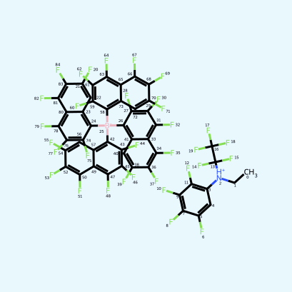 CC[NH+](c1cc(F)c(F)c(F)c1F)C(F)(F)C(F)(F)F.Fc1cc2c([B-](c3c(F)c(F)c(F)c4c(F)c(F)c(F)cc34)(c3c(F)c(F)c(F)c4c(F)c(F)c(F)cc34)c3c(F)c(F)c(F)c4c(F)c(F)c(F)cc34)c(F)c(F)c(F)c2c(F)c1F